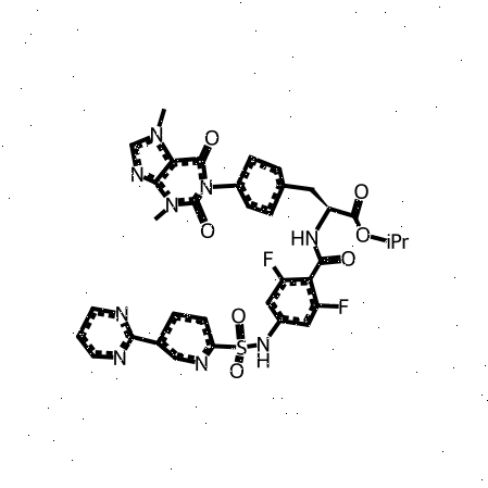 CC(C)OC(=O)[C@H](Cc1ccc(-n2c(=O)c3c(ncn3C)n(C)c2=O)cc1)NC(=O)c1c(F)cc(NS(=O)(=O)c2ccc(-c3ncccn3)cn2)cc1F